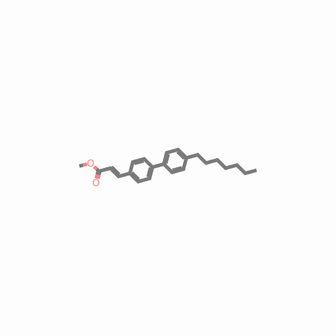 CCCCCCCc1ccc(-c2ccc(/C=C/C(=O)OC)cc2)cc1